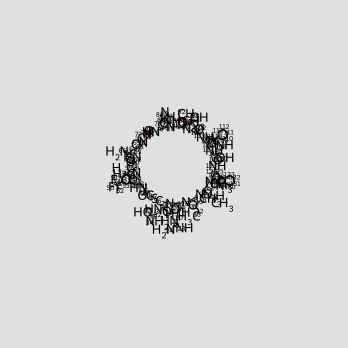 CCCC[C@H]1C(=O)N(C)[C@@H](CCCC)C(=O)N[C@@H](CCCNC(=N)N)C(=O)N[C@H](C(=O)NCC(N)O)CSCC(=O)N[C@@H](Cc2cccc(C(F)(F)F)c2)C(=O)N(C)[C@@H](C)C(=O)N[C@@H](CC(N)=O)C(=O)N2CCC[C@H]2C(=O)N[C@@H](Cc2cnc[nH]2)C(=O)N[C@@H](CC(C)C)C(=O)N2C[C@H](O)CC2C(=O)N[C@@H](Cc2c[nH]c3ccccc23)C(=O)N[C@@H](CO)C(=O)N[C@@H](Cc2c[nH]c3ccccc23)C(=O)N1C